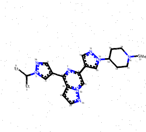 CCC(CC)n1cc(-c2nc(-c3cnn(C4CCN(SC)CC4)c3)cn3nccc23)cn1